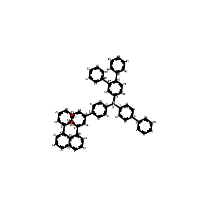 c1ccc(-c2ccc(N(c3ccc(-c4cccc(-c5cccc6cccc(-c7ccccc7)c56)c4)cc3)c3ccc(-c4ccccc4)c(-c4ccccc4)c3)cc2)cc1